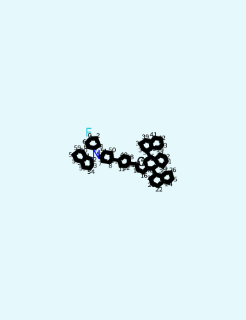 Fc1ccc(N(c2ccc(-c3ccc(-c4ccc5c(-c6cccc7ccccc67)c6ccccc6c(-c6cccc7ccccc67)c5c4)cc3)cc2)c2cccc3ccccc23)cc1